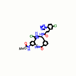 COC(=O)Nc1ccc2c(c1)CNC(=O)c1cccc(c1)C[C@H](NC(=O)/C=C/c1cc(Cl)ccc1-n1cnnn1)c1nc-2c(Cl)[nH]1